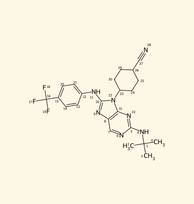 CC(C)(C)Nc1ncc2nc(Nc3ccc(C(F)(F)F)cc3)n(C3CCC(C#N)CC3)c2n1